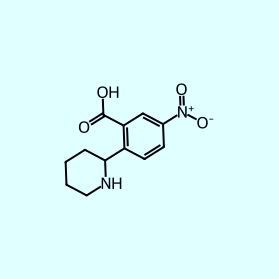 O=C(O)c1cc([N+](=O)[O-])ccc1C1CCCCN1